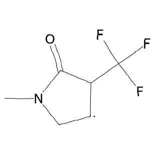 CN1C[CH]C(C(F)(F)F)C1=O